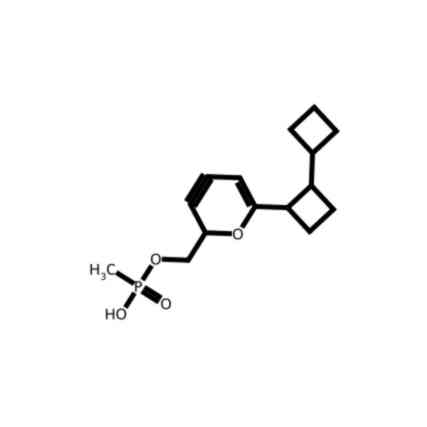 CP(=O)(O)OCC1C#CC=C(C2CCC2C2CCC2)O1